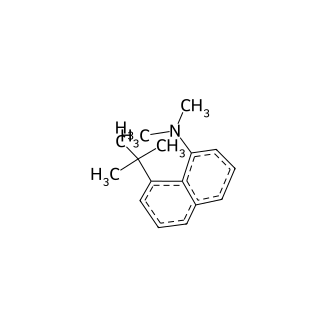 CN(C)c1cccc2cccc(C(C)(C)C)c12